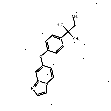 CCC(C)(C)c1ccc(Oc2ccn3ccnc3c2)cc1